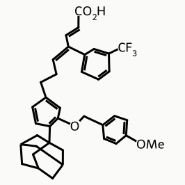 COc1ccc(COc2cc(CCC=C(C=CC(=O)O)c3cccc(C(F)(F)F)c3)ccc2C23CC4CC(CC(C4)C2)C3)cc1